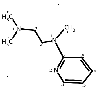 CN(C)CCN(C)c1[c]cccn1